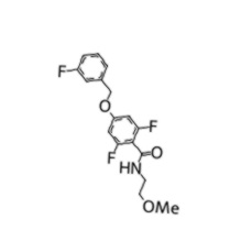 COCCNC(=O)c1c(F)cc(OCc2cccc(F)c2)cc1F